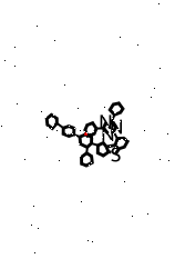 c1ccc(-c2ccc(-c3ccc(-c4ccc5sc6cccc(-c7nc(-c8ccccc8)nc(-c8ccccc8)n7)c6c5c4)c(-c4ccccc4)c3)cc2)cc1